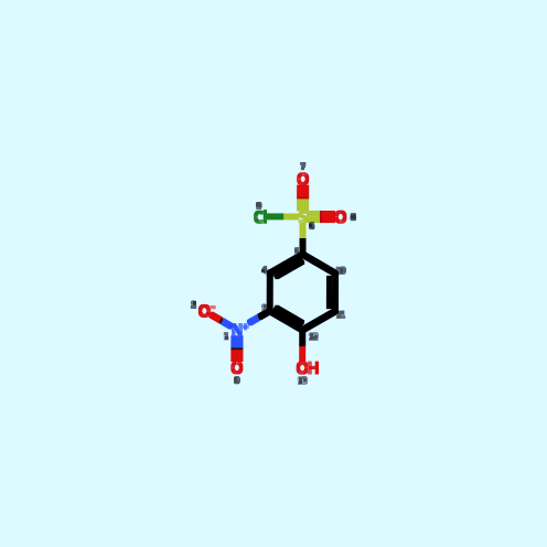 O=[N+]([O-])c1cc(S(=O)(=O)Cl)ccc1O